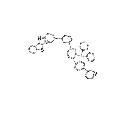 c1ccc(C2(c3ccccc3)c3cc(-c4cccnc4)ccc3-c3ccc(-c4cccc(-c5ccc6nc7c8ccccc8sc7n6c5)c4)cc32)cc1